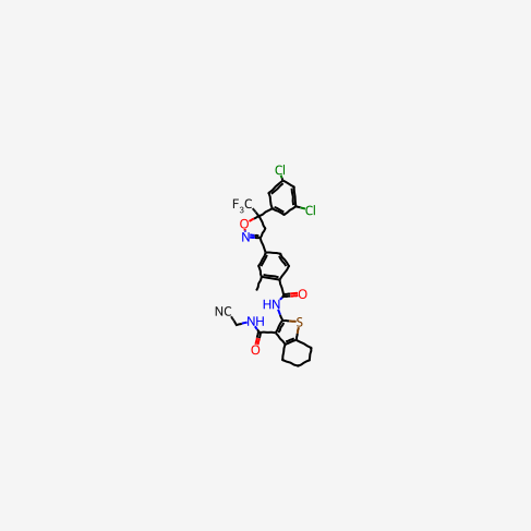 Cc1cc(C2=NOC(c3cc(Cl)cc(Cl)c3)(C(F)(F)F)C2)ccc1C(=O)Nc1sc2c(c1C(=O)NCC#N)CCCC2